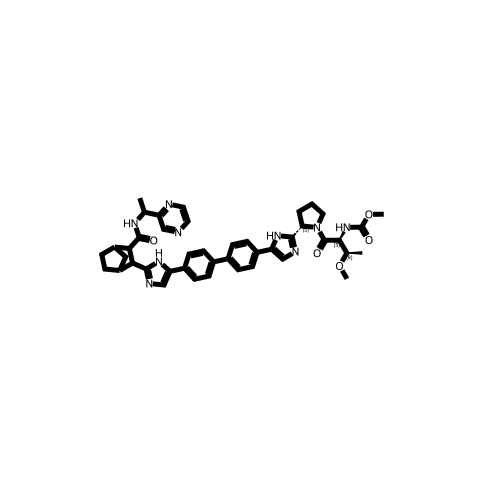 COC(=O)N[C@H](C(=O)N1CCC[C@H]1c1ncc(-c2ccc(-c3ccc(-c4cnc(C5C6CCC(C6)C5C(=O)NC(C)c5cnccn5)[nH]4)cc3)cc2)[nH]1)[C@@H](C)OC